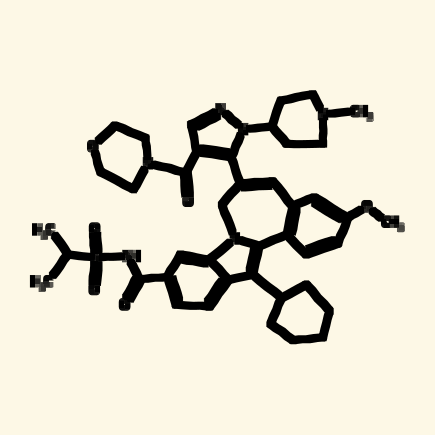 COc1ccc2c(c1)C=C(c1c(C(=O)N3CCOCC3)cnn1C1CCN(C)CC1)Cn1c-2c(C2CCCCC2)c2ccc(C(=O)NS(=O)(=O)C(C)C)cc21